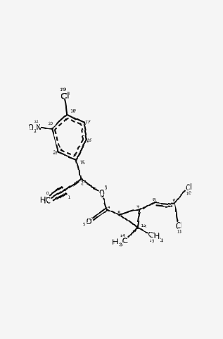 C#CC(OC(=O)C1C(C=C(Cl)Cl)C1(C)C)c1ccc(Cl)c([N+](=O)[O-])c1